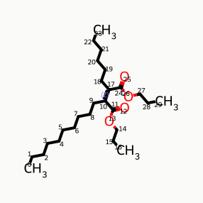 CCCCCCCCCC/C(C(=O)OCCC)=C(\CCCCCC)C(=O)OCCC